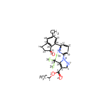 CCOC(=O)c1cnn(-c2cccc(-c3cc(C)cc4c3C(=O)CC4)n2)c1C(F)(F)F